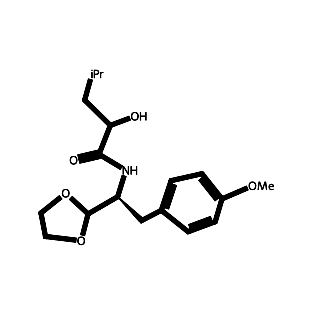 COc1ccc(C[C@H](NC(=O)C(O)CC(C)C)C2OCCO2)cc1